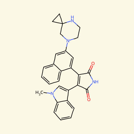 Cn1cc(C2=C(c3cc(N4CCNC5(CC5)C4)cc4ccccc34)C(=O)NC2=O)c2ccccc21